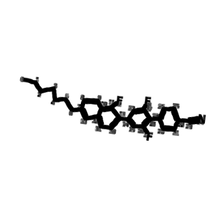 CCCCCCCc1ccc2c(F)c(-c3cc(F)c(-c4ccc(C#N)cc4)c(F)c3)ccc2c1